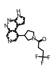 O=C(CCC(F)(F)F)N1CCC(c2cncc3nnc4[nH]ccc4c23)C1